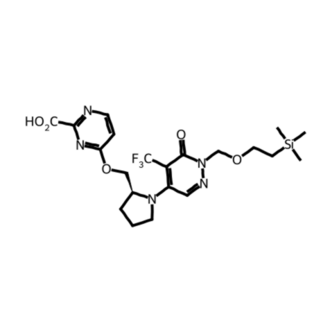 C[Si](C)(C)CCOCn1ncc(N2CCC[C@H]2COc2ccnc(C(=O)O)n2)c(C(F)(F)F)c1=O